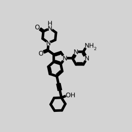 Nc1nccc(-n2cc(C(=O)N3CCNC(=O)C3)c3ccc(C#CC4(O)CCCCC4)cc32)n1